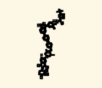 Cc1cc(-c2n[nH]c3ccc(-c4ccc(N5CCC(CN6C(C)CN(c7cc8c(cc7F)C(=O)N(C7CCC(=O)NC7=O)C8=O)CC6C)CC5)cc4)cc23)ccc1CNC(=O)c1nc(C(C)(C)C)no1